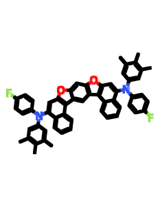 Cc1cc(N(c2ccc(F)cc2)c2cc3oc4cc5oc6cc(N(c7ccc(F)cc7)c7cc(C)c(C)c(C)c7)c7ccccc7c6c5cc4c3c3ccccc23)cc(C)c1C